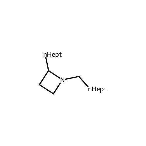 CCCCCCCCN1CCC1CCCCCCC